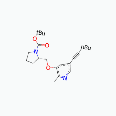 CCCCC#Cc1cnc(C)c(OC[C@@H]2CCCN2C(=O)OC(C)(C)C)c1